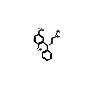 CC(C)NCC[C@@H](c1ccccc1)c1cc(C(C)(C)C)ccc1O